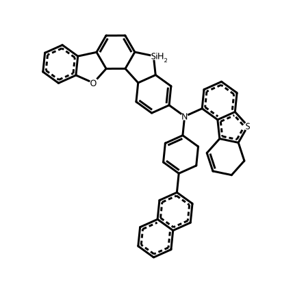 C1=Cc2c(sc3cccc(N(C4=CC5[SiH2]C6=CC=C7c8ccccc8OC7C6C5C=C4)C4=CC=C(c5ccc6ccccc6c5)CC4)c23)CC1